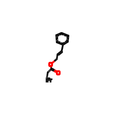 CC(C)CC(=O)OC/C=C/c1ccccc1